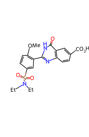 CCN(CC)S(=O)(=O)c1ccc(OC)c(-c2nc3ccc(C(=O)O)cc3c(=O)[nH]2)c1